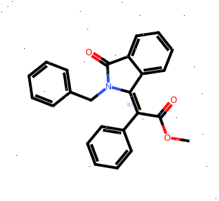 COC(=O)/C(=C1\c2ccccc2C(=O)N1Cc1ccccc1)c1ccccc1